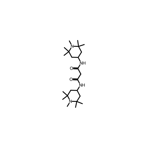 CN1C(C)(C)CC(NC(=O)CC(=O)NC2CC(C)(C)N(C)C(C)(C)C2)CC1(C)C